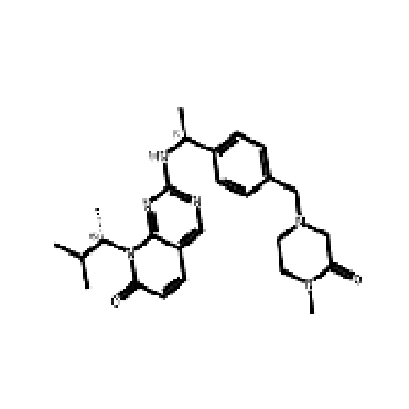 CC(C)[C@H](C)n1c(=O)ccc2cnc(N[C@@H](C)c3ccc(CN4CCN(C)C(=O)C4)cc3)nc21